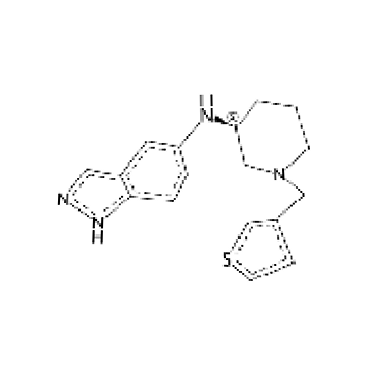 c1cc(CN2CCC[C@H](Nc3ccc4[nH]ncc4c3)C2)cs1